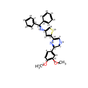 COc1ccc(-c2cncc(-c3cc(N=C(c4ccccc4)c4ccccc4)cs3)n2)cc1OC